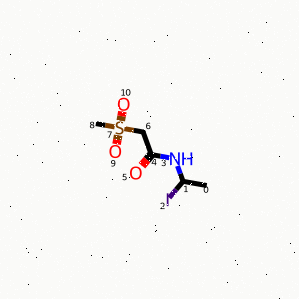 CC(I)NC(=O)CS(C)(=O)=O